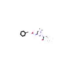 COC(=O)[C@H](CC(C)(C)C)NC[C@H](C[Si](C)(C)C)NC(=O)OCc1ccccc1